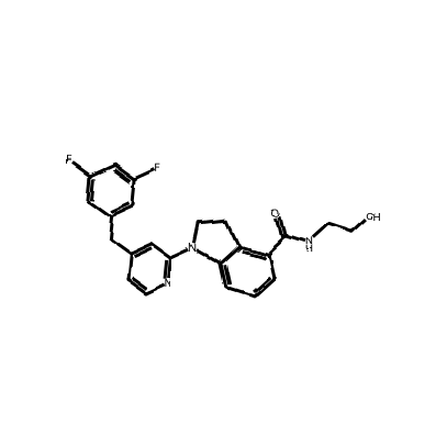 O=C(NCCO)c1cccc2c1CCN2c1cc(Cc2cc(F)cc(F)c2)ccn1